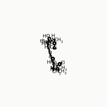 CC1=C(C)C2=C(C1)n1c(C)nnc1C(CC(=O)Nc1cccc(OCCOCCCOCC(=O)N[C@H](C(=O)N3C[C@H](O)C[C@H]3C(=O)N[C@@H](C)c3ccc(-c4sccc4C)cc3)C(C)(C)C)c1)N=C2c1ccc(Cl)cc1